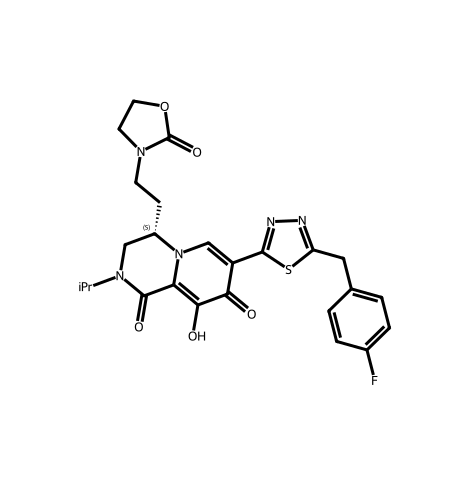 CC(C)N1C[C@H](CCN2CCOC2=O)n2cc(-c3nnc(Cc4ccc(F)cc4)s3)c(=O)c(O)c2C1=O